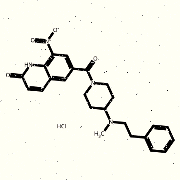 CN(CCc1ccccc1)C1CCN(C(=O)c2cc([N+](=O)[O-])c3[nH]c(=O)ccc3c2)CC1.Cl